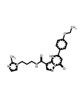 CCOc1ccc(-c2cc(=O)n3ncc(C(=O)NCCCn4ccnc4C)c3[nH]2)cc1